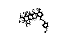 COc1ccc(CCc2ccc(O)c3c2C[C@]2(C)C[C@]4(C)C(C(C)C)C(O)=C(C(C)=O)C(=O)[C@]4(O)C(O)=C2C3=O)cc1